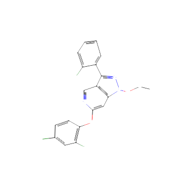 CBOn1nc(-c2ccccc2Cl)c2cnc(Oc3ccc(F)cc3F)cc21